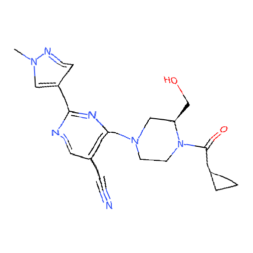 Cn1cc(-c2ncc(C#N)c(N3CCN(C(=O)C4CC4)[C@H](CO)C3)n2)cn1